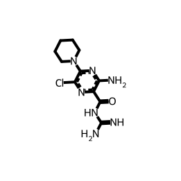 N=C(N)NC(=O)c1nc(Cl)c(N2CCCCC2)nc1N